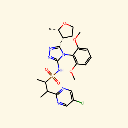 COc1cccc(OC)c1-n1c(NS(=O)(=O)C(C)C(C)c2ncc(Cl)cn2)nnc1[C@H]1CCO[C@H]1C